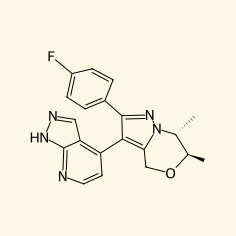 C[C@@H]1[C@@H](C)OCc2c(-c3ccnc4[nH]ncc34)c(-c3ccc(F)cc3)nn21